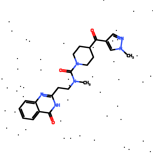 CN(CCc1nc2ccccc2c(=O)[nH]1)C(=O)N1CCC(C(=O)c2cnn(C)c2)CC1